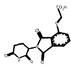 O=C(O)CSc1cccc2c1C(=O)N(C1CCC(=O)NC1=O)C2=O